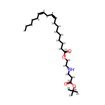 CCCCC/C=C\C/C=C\CCCCCCCC(=O)OCCNCCC(=O)OC(C)(C)C